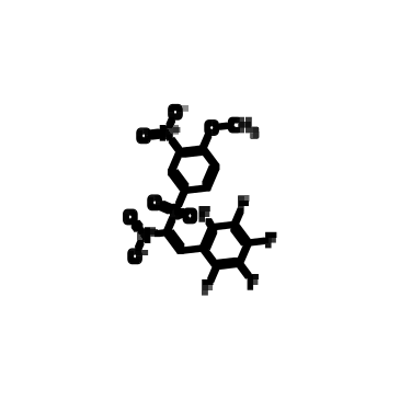 COc1ccc(S(=O)(=O)C(=Cc2c(F)c(F)c(F)c(F)c2F)[N+](=O)[O-])cc1[N+](=O)[O-]